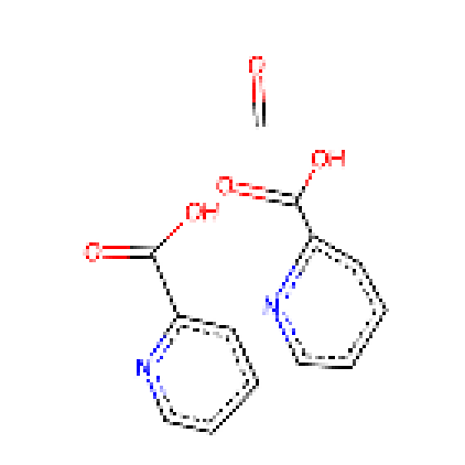 C=O.O=C(O)c1ccccn1.O=C(O)c1ccccn1